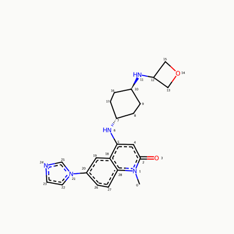 Cn1c(=O)cc(N[C@H]2CC[C@H](NC3COC3)CC2)c2cc(-n3ccnc3)ccc21